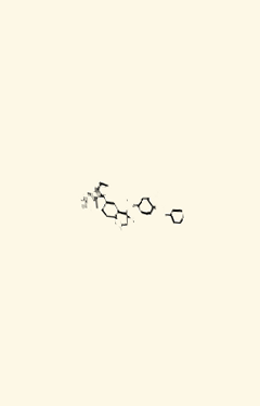 CCN(C(C)C1(c2ccc3ncnc(Nc4ccc(OCc5cccc(F)c5)c(Br)c4)c3c2)CC=CO1)S(=O)(=O)CC